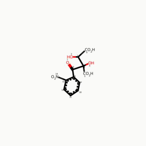 O=C(O)C(O)C(O)(C(=O)O)C(=O)c1ccccc1[N+](=O)[O-]